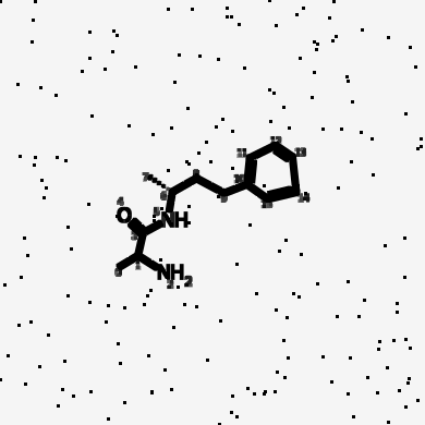 CC(N)C(=O)N[C@H](C)CCc1ccccc1